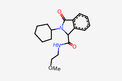 COCCNC(=O)C1c2ccccc2C(=O)N1C1CCCCC1